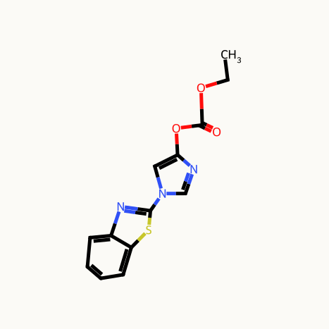 CCOC(=O)Oc1cn(-c2nc3ccccc3s2)cn1